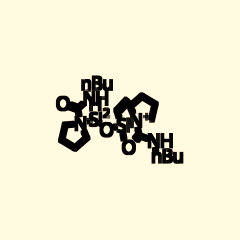 C=C[Si](C)(O[SiH2][N+]1(C(=O)NCCCC)CCCC1)[N+]1(C(=O)NCCCC)CCCC1